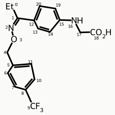 CCC(=NOCc1ccc(C(F)(F)F)cc1)c1ccc(NCC(=O)O)cc1